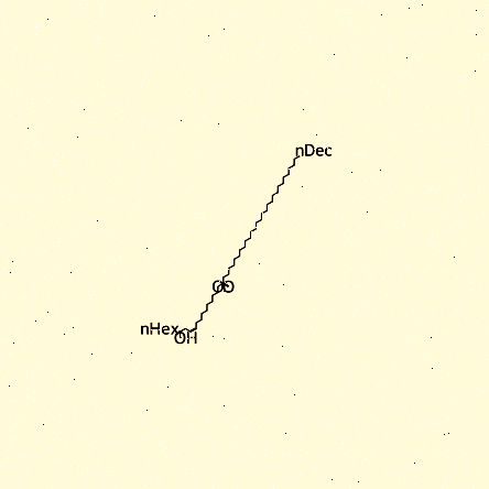 CCCCCCCCCCCCCCCCCCCCCCCCCCCCCCCCCCCCCCC(=O)OCCCCCCCC/C=C\C[C@H](O)CCCCCC